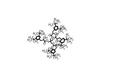 CC(C)(C)c1cc(CC(O)C(=O)OCC(COC(=O)C(O)Cc2cc(C(C)(C)C)cc(C(C)(C)C)c2)(COC(=O)C(O)Cc2cc(C(C)(C)C)cc(C(C)(C)C)c2)COC(=O)C(O)Cc2cc(C(C)(C)C)cc(C(C)(C)C)c2)cc(C(C)(C)C)c1